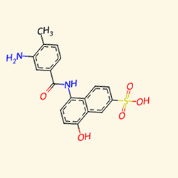 Cc1ccc(C(=O)Nc2ccc(O)c3cc(S(=O)(=O)O)ccc23)cc1N